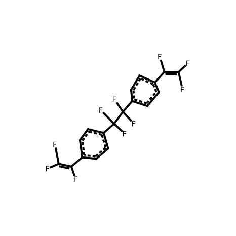 FC(F)=C(F)c1ccc(C(F)(F)C(F)(F)c2ccc(C(F)=C(F)F)cc2)cc1